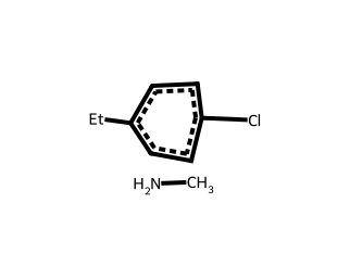 CCc1ccc(Cl)cc1.CN